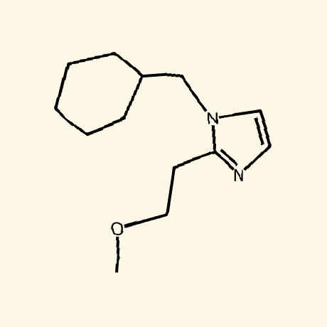 COCCc1nccn1CC1CCCCC1